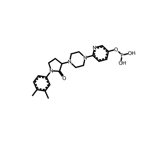 Cc1ccc(N2CCC(N3CCN(c4ccc(OP(O)O)cn4)CC3)C2=O)cc1C